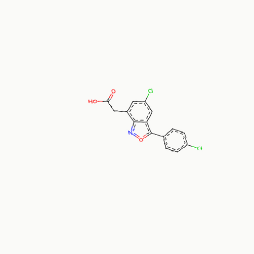 O=C(O)Cc1cc(Cl)cc2c(-c3ccc(Cl)cc3)onc12